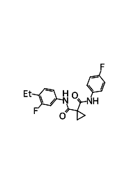 CCc1ccc(NC(=O)C2(C(=O)Nc3ccc(F)cc3)CC2)cc1F